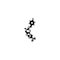 CN(CC1Cn2cc([N+](=O)[O-])nc2O1)C(=O)OCc1ccc(F)cc1